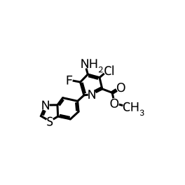 COC(=O)c1nc(-c2ccc3scnc3c2)c(F)c(N)c1Cl